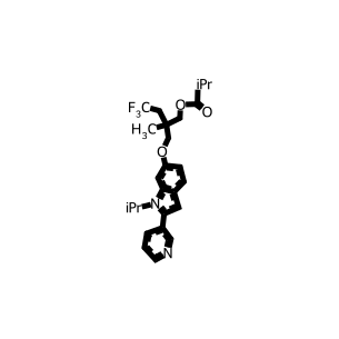 CC(C)C(=O)OCC(C)(COc1ccc2cc(-c3cccnc3)n(C(C)C)c2c1)CC(F)(F)F